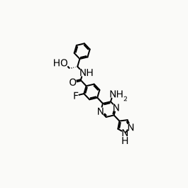 Nc1nc(-c2cn[nH]c2)cnc1-c1ccc(C(=O)N[C@H](CO)c2ccccc2)c(F)c1